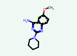 COc1ccc2nc(N3CCCCC3)nc(N)c2c1